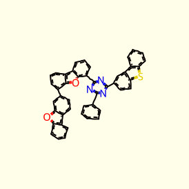 c1ccc(-c2nc(-c3ccc4sc5ccccc5c4c3)nc(-c3cccc4c3oc3c(-c5ccc6c(c5)oc5ccccc56)cccc34)n2)cc1